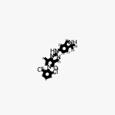 Cc1cn(-c2c(Cl)cccc2Cl)c(=O)c2cnc(Nc3ccc4c(c3)CNC4(C)C)nc12